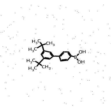 CC(C)(C)c1cc(-c2ccc(B(O)O)cc2)cc(C(C)(C)C)c1